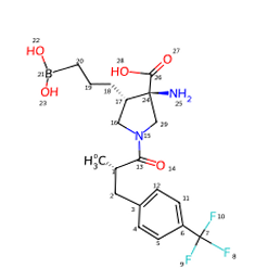 C[C@@H](Cc1ccc(C(F)(F)F)cc1)C(=O)N1C[C@H](CCCB(O)O)[C@](N)(C(=O)O)C1